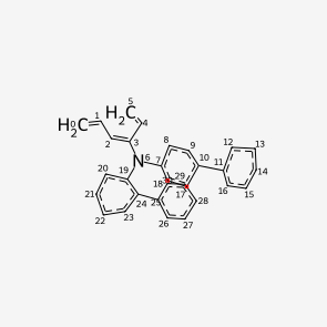 C=C/C=C(\C=C)N(c1ccc(-c2ccccc2)cc1)c1ccccc1-c1ccccc1